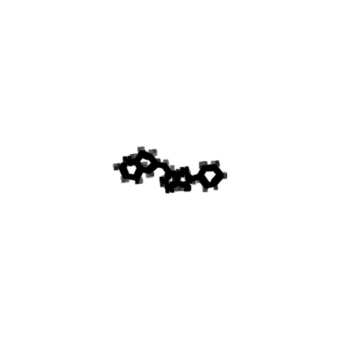 c1ccc(-c2nn3c(Cc4ccc5ncccc5c4)nnc3s2)cc1